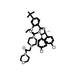 CCOc1cc(C(C)(C)C)ccc1C1=N[C@@](C)(c2ccc(Cl)cc2)[C@@H](c2ccc(Cl)cc2)N1C(=O)N1CCN(CC(=O)N2CCOCC2)CC1